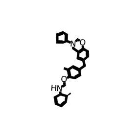 Cc1cc(Cc2ccc3c(c2)CN(c2ccccc2)CO3)ccc1OCNC1C=CC=C[C@@H]1C